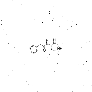 O=C(Cc1[c]cccc1)NC1=CCNCN1